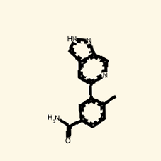 Cc1ccc(C(N)=O)cc1-c1cc2c[nH]nc2cn1